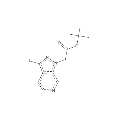 CC(C)(C)OC(=O)Cn1nc(I)c2ccncc21